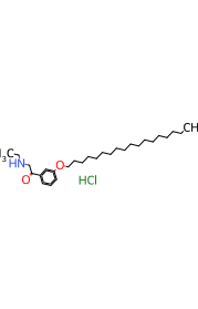 CCCCCCCCCCCCCCCCCCOc1cccc(C(=O)CNCC)c1.Cl